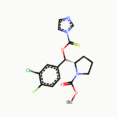 CC(C)(C)OC(=O)N1CCC[C@H]1C(OC(=S)n1ccnc1)c1ccc(F)c(Cl)c1